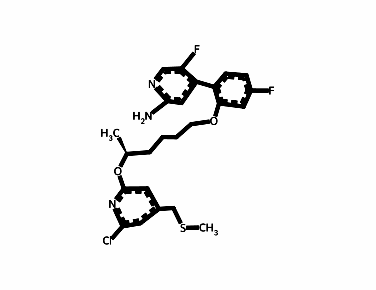 CSCc1cc(Cl)nc(O[C@@H](C)CCCCOc2cc(F)ccc2-c2cc(N)ncc2F)c1